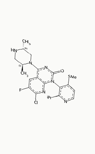 CSc1ccnc(C(C)C)c1-n1c(=O)nc(N2C[C@@H](C)NC[C@@H]2C)c2cc(F)c(Cl)nc21